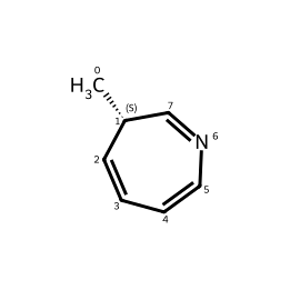 C[C@H]1C=CC=CN=C1